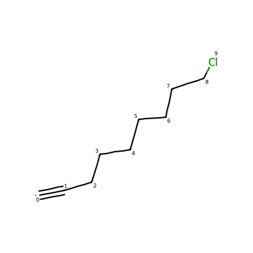 [C]#CCCCCCCCCl